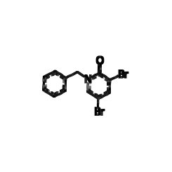 O=c1c(Br)cc(Br)cn1Cc1ccccc1